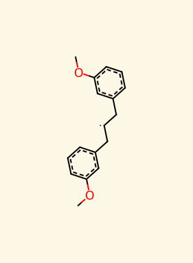 COc1cccc(C[CH]Cc2cccc(OC)c2)c1